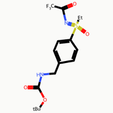 CCS(=O)(=NC(=O)C(F)(F)F)c1ccc(CNC(=O)OC(C)(C)C)cc1